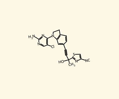 [C-]#[N+]c1csc(C(C)(O)C#Cc2ccc3c(c2)N(c2nc(N)ncc2Cl)CC3)n1